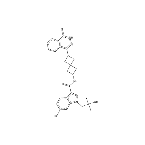 CC(C)(O)Cn1nc(C(=O)NC2CC3(C2)CC(c2n[nH]c(=O)c4ccccc24)C3)c2ccc(Br)cc21